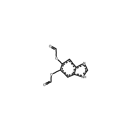 O=COc1cc2nc[nH]c2cc1OC=O